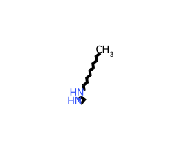 CCCCCCCCCCCCNC1CCN1